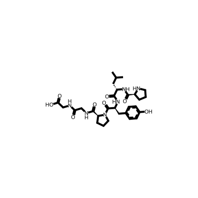 CC(C)C[C@H](NC(=O)[C@@H]1CCCN1)C(=O)N[C@@H](Cc1ccc(O)cc1)C(=O)N1CCC[C@H]1C(=O)NCC(=O)NCC(=O)O